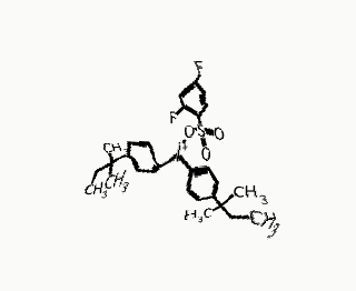 CCC(C)(C)c1ccc([I+](OS(=O)(=O)c2ccc(F)cc2F)c2ccc(C(C)(C)CC)cc2)cc1